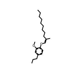 CCCCCCCCCC(C)=COc1ccc(CCC)cc1OC